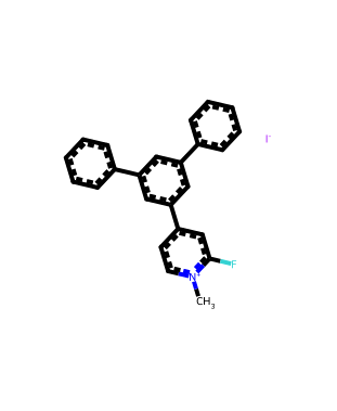 C[n+]1ccc(-c2cc(-c3ccccc3)cc(-c3ccccc3)c2)cc1F.[I-]